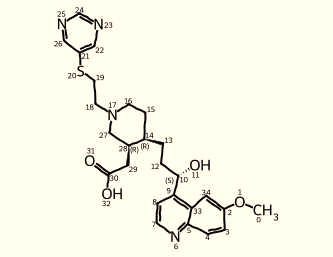 COc1ccc2nccc([C@@H](O)CC[C@@H]3CCN(CCSc4cncnc4)C[C@@H]3CC(=O)O)c2c1